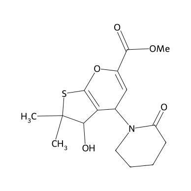 COC(=O)C1=CC(N2CCCCC2=O)C2=C(O1)SC(C)(C)C2O